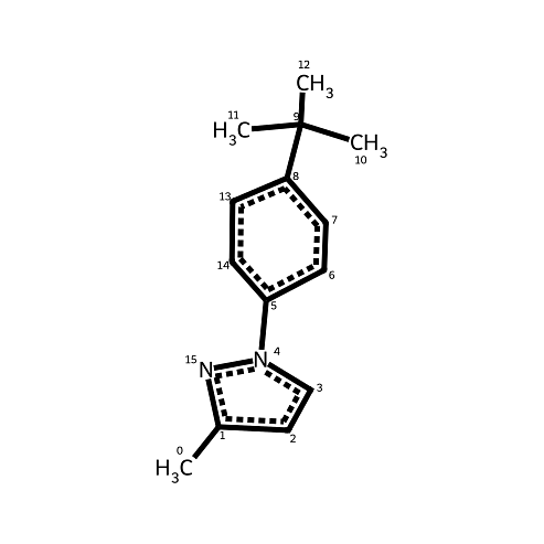 Cc1ccn(-c2ccc(C(C)(C)C)cc2)n1